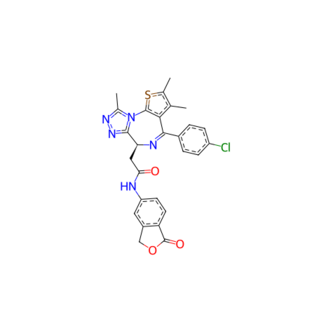 Cc1sc2c(c1C)C(c1ccc(Cl)cc1)=N[C@@H](CC(=O)Nc1ccc3c(c1)COC3=O)c1nnc(C)n1-2